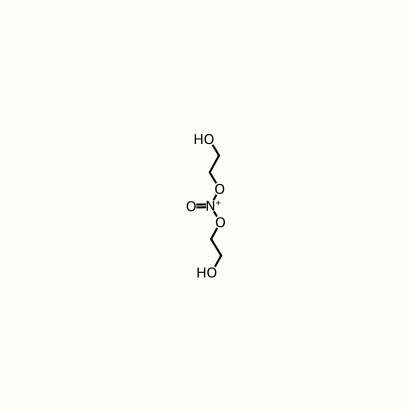 O=[N+](OCCO)OCCO